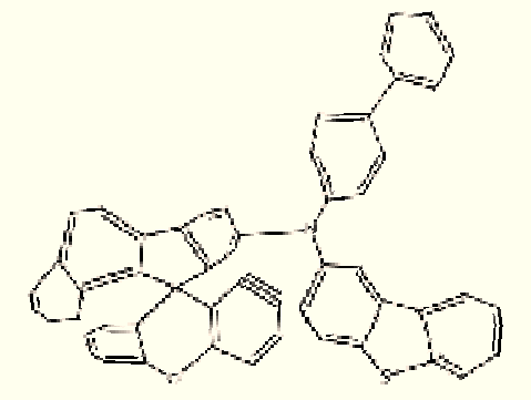 c1ccc2c(c#1)C1(c3ccccc3O2)c2cc(N(c3ccc(-c4ccccc4)cc3)c3ccc4sc5ccccc5c4c3)ccc2-c2ccc3c(c21)CCC=C3